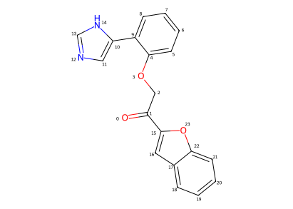 O=C(COc1ccccc1-c1cnc[nH]1)c1cc2ccccc2o1